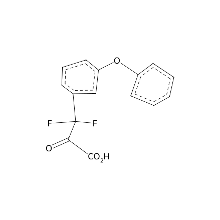 O=C(O)C(=O)C(F)(F)c1cccc(Oc2ccccc2)c1